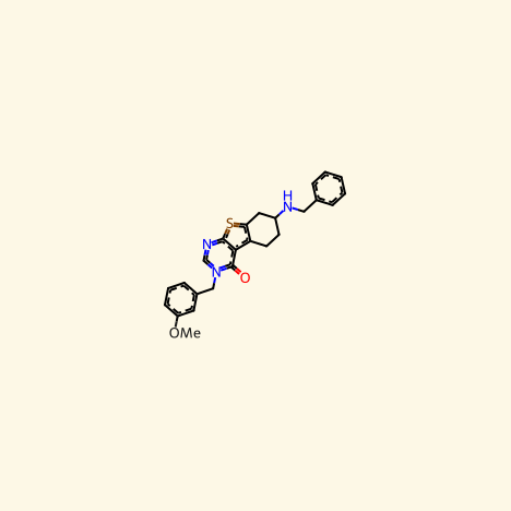 COc1cccc(Cn2cnc3sc4c(c3c2=O)CCC(NCc2ccccc2)C4)c1